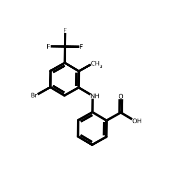 Cc1c(Nc2ccccc2C(=O)O)cc(Br)cc1C(F)(F)F